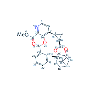 COC(=O)c1nccc([C@H]2C[C@H]2B2OC3CC4CC(C4(C)C)[C@]3(C)O2)c1OCc1ccccc1